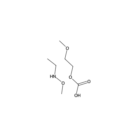 CCNOC.COCCOC(=O)O